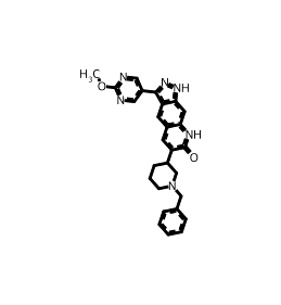 COc1ncc(-c2n[nH]c3cc4[nH]c(=O)c(C5CCCN(Cc6ccccc6)C5)cc4cc23)cn1